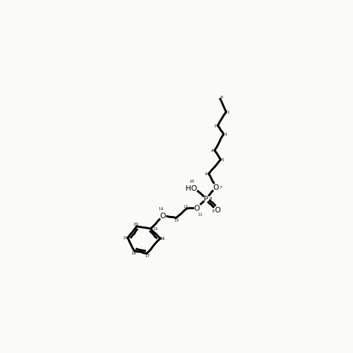 CCCCCCCOP(=O)(O)OCCOc1ccccc1